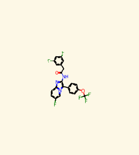 O=C(Cc1cc(F)cc(F)c1)Nc1nc2ccc(F)cn2c1-c1ccc(OC(F)(F)F)cc1